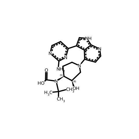 CC(C)(C)N(C(=O)O)[C@H]1CCN(c2ccnc3[nH]cc(-c4ccnc(N)n4)c23)C[C@H]1O